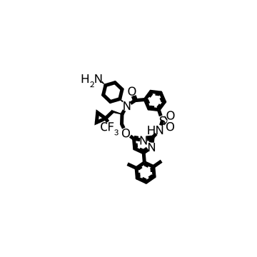 Cc1cccc(C)c1-c1cc2nc(n1)NS(=O)(=O)c1cccc(c1)C(=O)N([C@H]1CC[C@@H](N)CC1)[C@H](CC1(C(F)(F)F)CC1)CO2